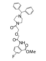 COC(=O)c1cc(F)ccc1NC(=O)COCC(=O)N1CCN(C(c2ccccc2)c2ccccc2)CC1